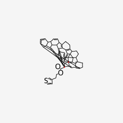 O=C(CCCC1(c2ccccc2)C23c4c5c6c7c8c4=C4CCC=8C8=C=CC9C%10C=CC%11C%12=c%13c%14c(c-5c5c%13=C(CC%12)C(CCC42)C513)C6=C(C9C87)C%10C%14%11)OCCc1ccsc1